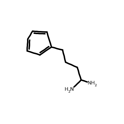 NC(N)CCCc1ccccc1